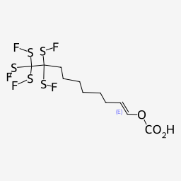 O=C(O)O/C=C/CCCCCCC(SF)(SF)C(SF)(SF)SF